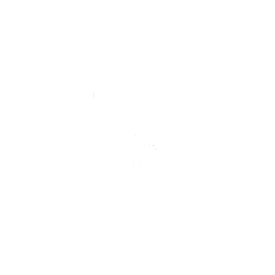 C=C/C(C)=N/OCCCO